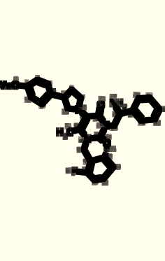 COc1ccc(C2CCN(c3c(C)n(Cc4c(F)cccc4F)c(=O)n(CC(N)c4ccccc4)c3=O)C2)cc1